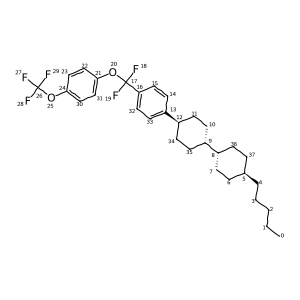 CCCCC[C@H]1CC[C@H]([C@H]2CC[C@H](c3ccc(C(F)(F)Oc4ccc(OC(F)(F)F)cc4)cc3)CC2)CC1